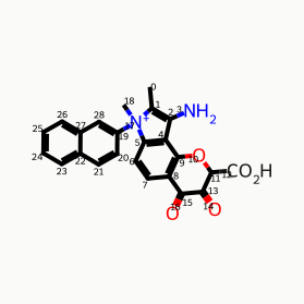 CC1=C(N)c2c(ccc3c2OC(C(=O)O)C(=O)C3=O)[N+]1(C)c1ccc2ccccc2c1